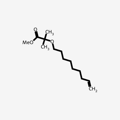 C=CCCCCCCCOC(C)(C)C(=O)OC